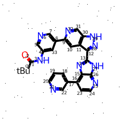 CC(C)(C)C(=O)Nc1cncc(-c2cc3c(-c4nc5c(-c6cccnc6)ccnc5[nH]4)n[nH]c3cn2)c1